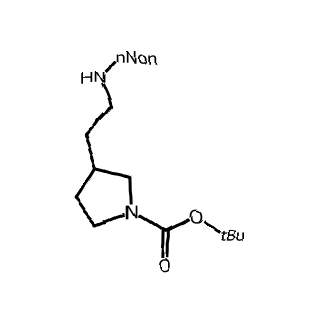 CCCCCCCCCNCCC1CCN(C(=O)OC(C)(C)C)C1